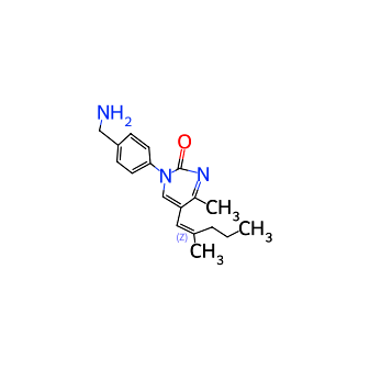 CCC/C(C)=C\c1cn(-c2ccc(CN)cc2)c(=O)nc1C